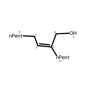 CCCCCCC=C(CO)CCCCC